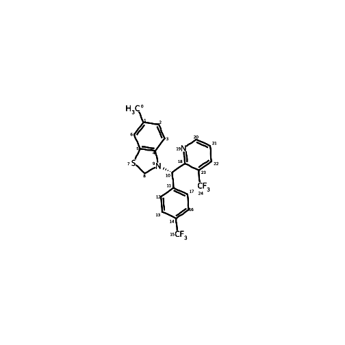 Cc1ccc2c(c1)SCN2[C@@H](c1ccc(C(F)(F)F)cc1)c1ncccc1C(F)(F)F